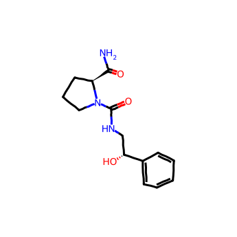 NC(=O)[C@@H]1CCCN1C(=O)NC[C@@H](O)c1ccccc1